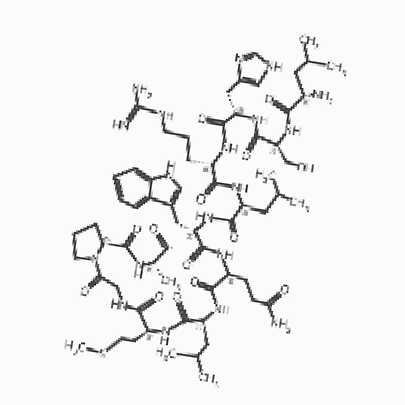 CSCC[C@H](NC(=O)[C@H](CC(C)C)NC(=O)[C@H](CCC(N)=O)NC(=O)[C@H](Cc1c[nH]c2ccccc12)NC(=O)[C@H](CC(C)C)NC(=O)[C@H](CCCNC(=N)N)NC(=O)[C@H](Cc1c[nH]cn1)NC(=O)[C@H](CO)NC(=O)[C@@H](N)CC(C)C)C(=O)NCC(=O)N1CCC[C@H]1C(=O)N[C@@H](C)[C]=O